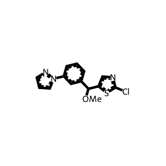 COC(c1cccc(-n2cccn2)c1)c1cnc(Cl)s1